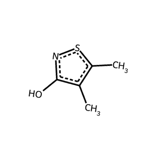 Cc1snc(O)c1C